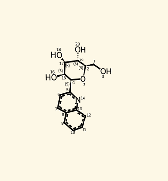 OC[C@H]1O[C@@H](c2ccc3ccccc3n2)[C@@H](O)[C@@H](O)[C@@H]1O